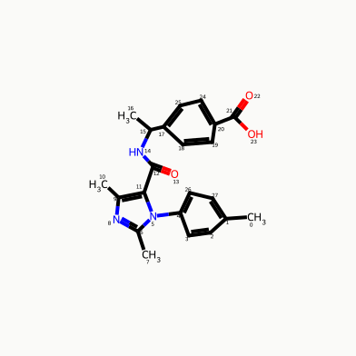 Cc1ccc(-n2c(C)nc(C)c2C(=O)NC(C)c2ccc(C(=O)O)cc2)cc1